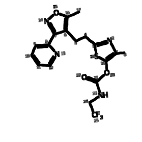 Cc1nc(CCc2c(-c3ccccn3)noc2C)sc1OC(=O)NCC(F)(F)F